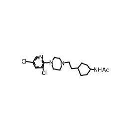 CC(=O)NC1CCC(CCN2CCN(c3ncc(Cl)cc3Cl)CC2)CC1